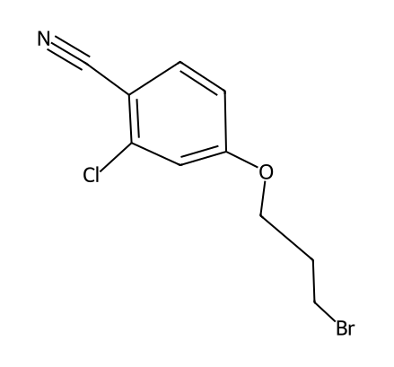 N#Cc1ccc(OCCCBr)cc1Cl